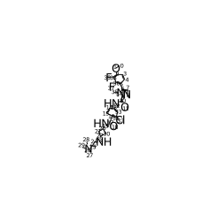 COc1ccc(-c2cnc(C(=O)Nc3ccc(C(=O)NC4CC(NCC[N+](C)(C)C)C4)c(Cl)c3)n2C)c(F)c1F